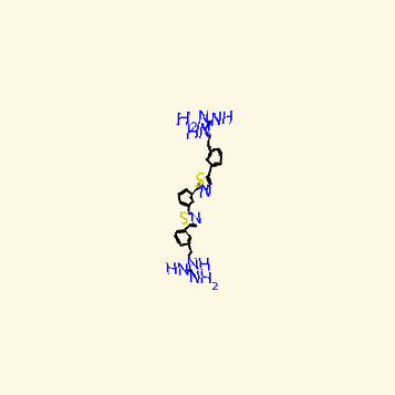 N=C(N)NCCc1cccc(-c2cnc(-c3cccc(-c4ncc(-c5cccc(CCNC(=N)N)c5)s4)c3)s2)c1